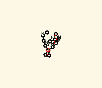 Fc1c(F)c(F)c(-c2ccc(-n3c4cc(-c5ccnc(-c6ccccc6)c5)ccc4c4ccc(-c5ccnc(-c6ccccc6)c5)cc43)c(C(F)(F)F)c2-n2c3cc(-c4ccnc(-c5ccccc5)c4)ccc3c3ccc(-c4ccnc(-c5ccccc5)c4)cc32)c(F)c1F